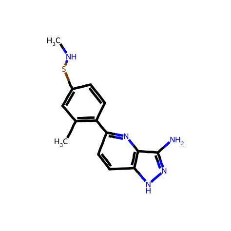 CNSc1ccc(-c2ccc3[nH]nc(N)c3n2)c(C)c1